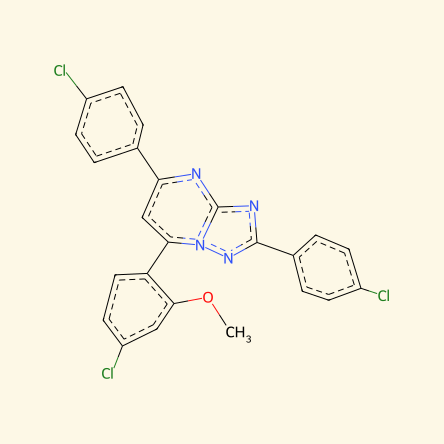 COc1cc(Cl)ccc1-c1cc(-c2ccc(Cl)cc2)nc2nc(-c3ccc(Cl)cc3)nn12